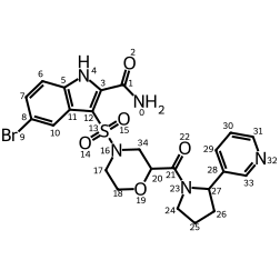 NC(=O)c1[nH]c2ccc(Br)cc2c1S(=O)(=O)N1CCOC(C(=O)N2CCCC2c2cccnc2)C1